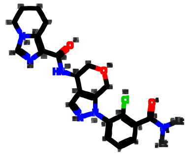 CCN(CC)C(=O)c1cccc(-n2ncc3c2COC[C@@H]3NC(=O)c2ncn3c2CCCC3)c1Cl